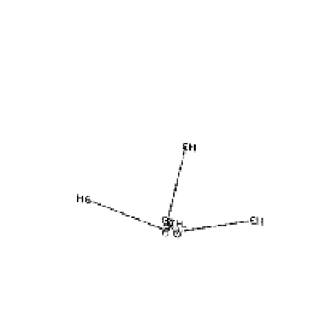 C#CC#CC#CC#CC#CC#CC#CC#CC#CC#CC#CC#CC#CC#CC(=O)OCC(CC)(COC(=O)C#CC#CC#CC#CC#CC#CC#CC#CC#CC#CC#CC#CC#CC#C)COC(=O)C#CC#CC#CC#CC#CC#CC#CC#CC#CC#CC#CC#CC#CC#C